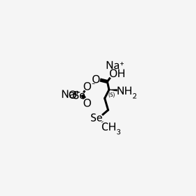 C[Se]CC[C@H](N)C(=O)O.O=[Se]([O-])[O-].[Na+].[Na+]